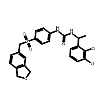 CC(NC(=O)Nc1ccc(S(=O)(=O)Cc2ccc3c(c2)COC3)cc1)c1cccc(Cl)c1Cl